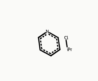 CC(C)Cl.c1ccncc1